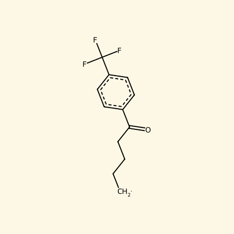 [CH2]CCCC(=O)c1ccc(C(F)(F)F)cc1